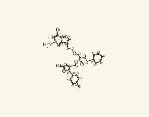 Nc1nc2c(ncn2CCOCP(=O)(OCc2ccccc2)OCc2oc(=O)oc2-c2ccc(F)cc2)c(=O)[nH]1